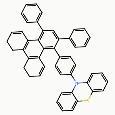 C1=Cc2c(c3c(c4c(-c5ccc(N6c7ccccc7Sc7ccccc76)cc5)c(-c5ccccc5)cc(-c5ccccc5)c24)C=CCC3)CC1